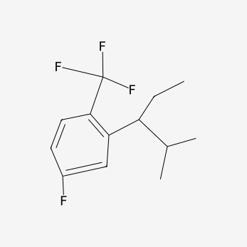 CCC(c1cc(F)ccc1C(F)(F)F)C(C)C